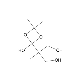 CC1(C)OC(O)(C(C)(CO)CO)O1